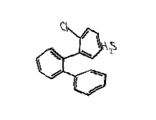 Clc1ccccc1-c1ccccc1-c1ccccc1.S